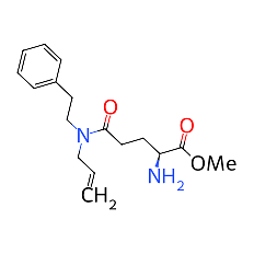 C=CCN(CCc1ccccc1)C(=O)CC[C@H](N)C(=O)OC